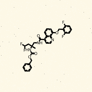 CC(CNC(=O)c1ccnc2c(OCc3c(F)cccc3F)cccc12)(CC(F)F)NC(=O)OCc1ccccc1